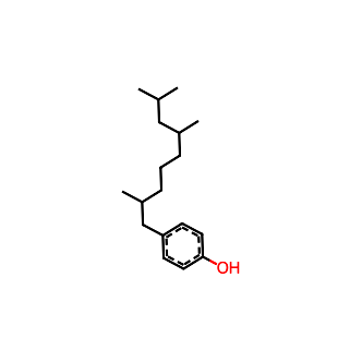 CC(C)CC(C)CCCC(C)Cc1ccc(O)cc1